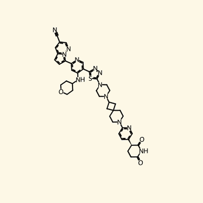 N#Cc1cnn2c(-c3cc(NC4CCOCC4)c(-c4nnc(N5CCN(C6CC7(CCN(c8ccc([C@@H]9CCC(=O)NC9=O)cn8)CC7)C6)CC5)s4)cn3)ccc2c1